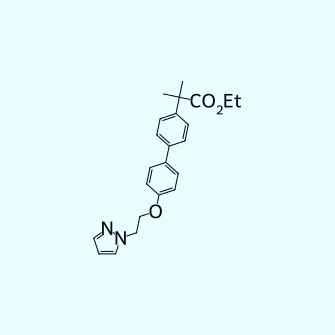 CCOC(=O)C(C)(C)c1ccc(-c2ccc(OCCn3cccn3)cc2)cc1